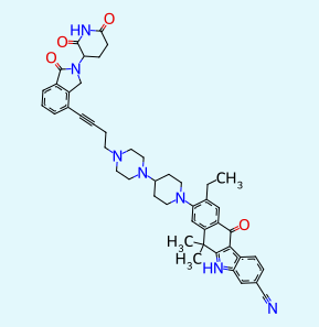 CCc1cc2c(cc1N1CCC(N3CCN(CCC#Cc4cccc5c4CN(C4CCC(=O)NC4=O)C5=O)CC3)CC1)C(C)(C)c1[nH]c3cc(C#N)ccc3c1C2=O